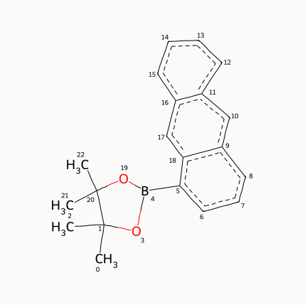 CC1(C)OB(c2cccc3cc4ccccc4cc23)OC1(C)C